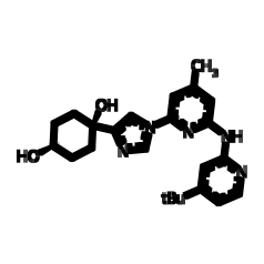 Cc1cc(Nc2cc(C(C)(C)C)ccn2)nc(-n2cnc([C@]3(O)CC[C@@H](O)CC3)c2)c1